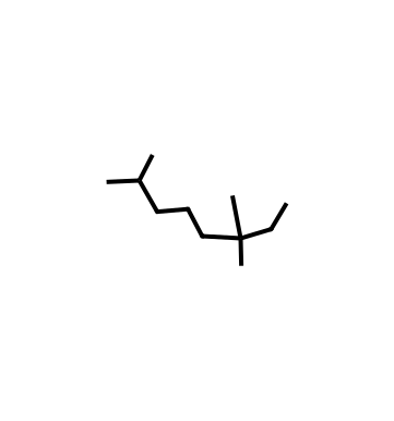 CCC(C)(C)CCCC(C)C